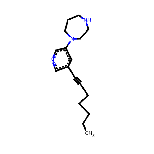 CCCCCC#Cc1cncc(N2CCCNCC2)c1